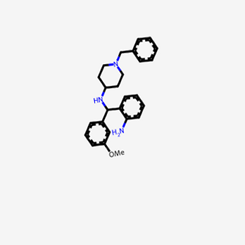 COc1cccc(C(NC2CCN(Cc3ccccc3)CC2)c2ccccc2N)c1